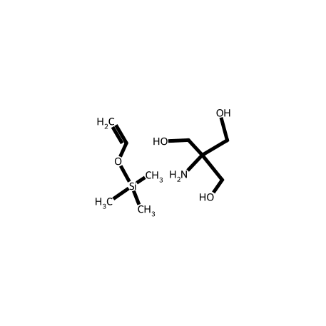 C=CO[Si](C)(C)C.NC(CO)(CO)CO